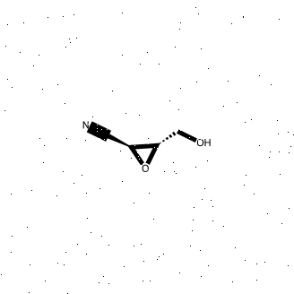 N#C[C@@H]1O[C@H]1CO